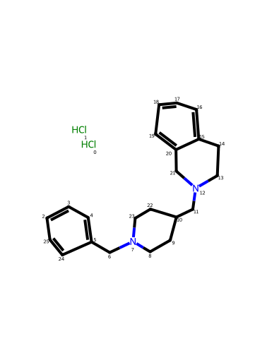 Cl.Cl.c1ccc(CN2CCC(CN3CCc4ccccc4C3)CC2)cc1